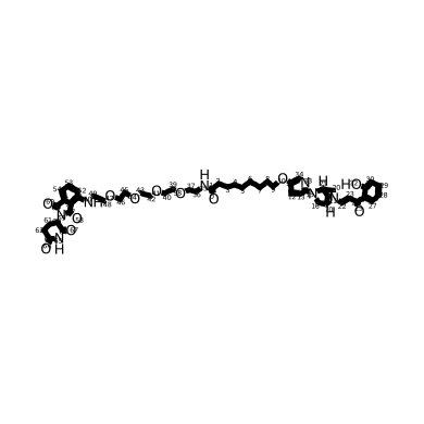 O=C(CCCCCCCCOc1ccc(N2C[C@H]3C[C@@H]2CN3/C=C/C(=O)c2ccccc2O)nc1)NCCOCCOCCOCCOCCNc1cccc2c1C(=O)N(C1CCC(=O)NC1=O)C2=O